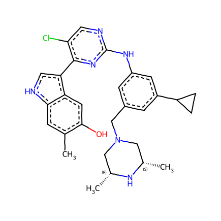 Cc1cc2[nH]cc(-c3nc(Nc4cc(CN5C[C@@H](C)N[C@@H](C)C5)cc(C5CC5)c4)ncc3Cl)c2cc1O